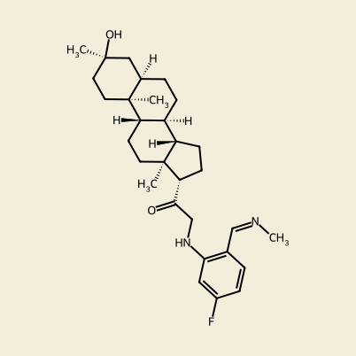 C/N=C\c1ccc(F)cc1NCC(=O)[C@H]1CC[C@H]2[C@@H]3CC[C@@H]4C[C@](C)(O)CC[C@]4(C)[C@H]3CC[C@]12C